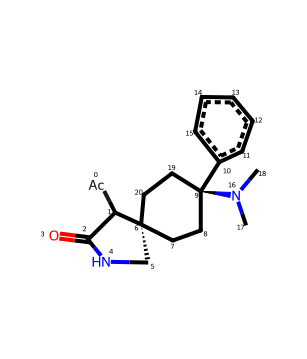 CC(=O)C1C(=O)NC[C@]12CC[C@](c1ccccc1)(N(C)C)CC2